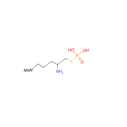 CNCCCC(N)CSP(=O)(O)O